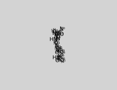 CN(C)CCn1c(=O)c2cnc(Nc3ccc(N4CCN(C(=O)c5cc(Cc6n[nH]c(=O)c7ccccc67)ccc5F)CC4)cc3)nc2n1-c1ccccn1